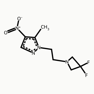 Cc1c([N+](=O)[O-])cnn1CCN1CC(F)(F)C1